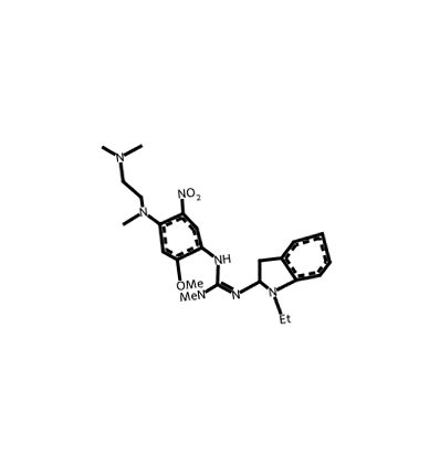 CCN1c2ccccc2CC1N=C(NC)Nc1cc([N+](=O)[O-])c(N(C)CCN(C)C)cc1OC